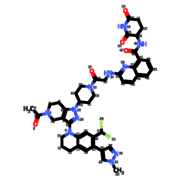 CC(=O)N1CCc2c(c(N3CCCc4cc(-c5cnn(C)c5)c(C(F)F)cc43)nn2C2CCN(C(=O)CNc3ccc4cccc(C(=O)NC5CCC(=O)NC5=O)c4n3)CC2)C1